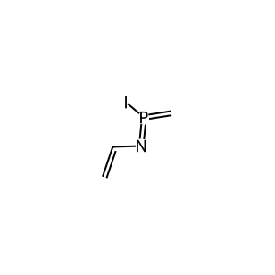 C=CN=P(=C)I